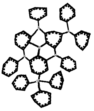 c1ccc(N(c2ccccc2)c2cc3c4c(c2)N(c2ccccc2)c2cc([Si](c5ccccc5)(c5ccccc5)c5ccccc5)cc5c2B4c2c(cccc2N5c2ccccc2)N3c2ccccc2)cc1